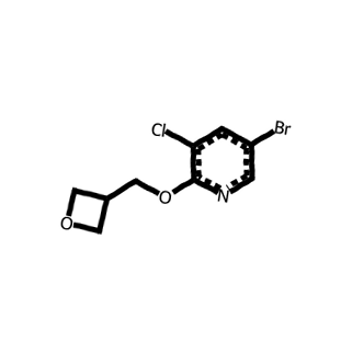 Clc1cc(Br)cnc1OCC1COC1